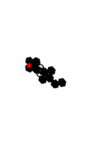 c1ccc(-c2cccc(-c3cc(-c4ccccc4)nc(-c4ccccc4-c4ccc5c(c4)Oc4c(ccc6c4-c4ccccc4C6(c4ccccc4)c4ccccc4)O5)c3)c2)cc1